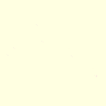 Cc1cc(C)c(CNC(=O)c2cc3cc(-c4ccnn4C)cn3c(C(C)N3CCOCC3)c2C)c(=O)[nH]1